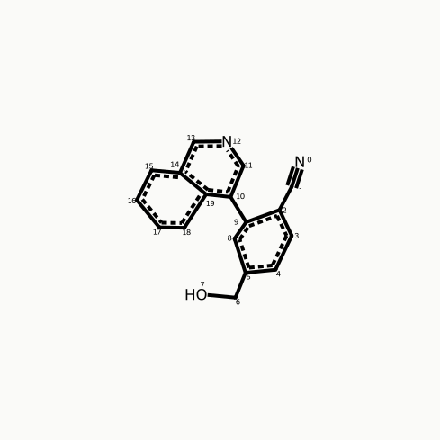 N#Cc1ccc(CO)cc1-c1cncc2ccccc12